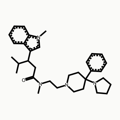 CC(C)C(CC(=O)N(C)CCN1CCC(c2ccccc2)(N2CCCC2)CC1)c1cn(C)c2ccccc12